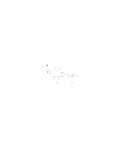 COc1cc2c(cc1-c1cnn(CC(N)=O)c1)-c1c(c(C(=O)N3CC[S+]([O-])CC3(C)C)nn1-c1cc(F)cc(F)c1)CO2